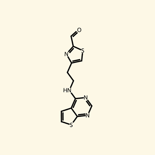 O=Cc1nc(CCNc2ncnc3sccc23)cs1